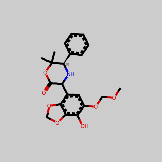 COCOc1cc(C2N[C@H](c3ccccc3)C(C)(C)OC2=O)c2c(c1O)OCO2